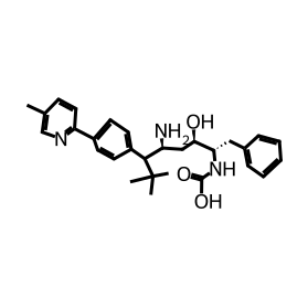 Cc1ccc(-c2ccc(C([C@@H](N)C[C@@H](O)[C@H](Cc3ccccc3)NC(=O)O)C(C)(C)C)cc2)nc1